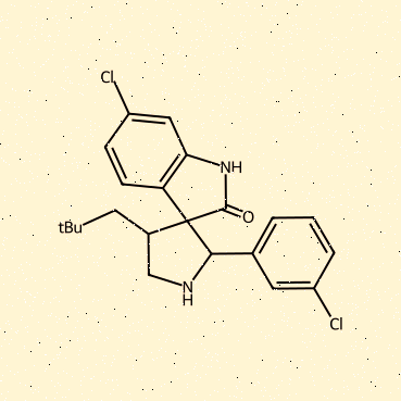 CC(C)(C)CC1CNC(c2cccc(Cl)c2)C12C(=O)Nc1cc(Cl)ccc12